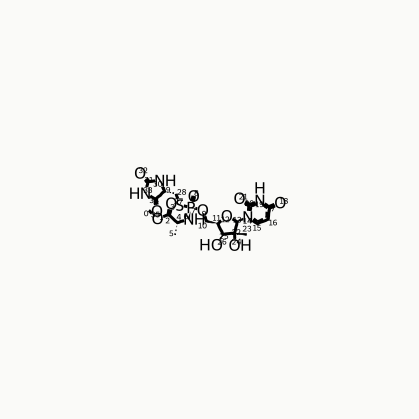 COC(=O)[C@@H](C)N[P@@](=O)(OC[C@H]1O[C@@H](n2ccc(=O)[nH]c2=O)[C@](C)(O)[C@@H]1O)SC[C@H]1NC(=O)NC1=O